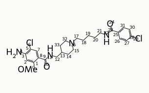 COc1cc(N)c(Cl)cc1C(=O)NCC1CCN(CCCCCNC(=O)c2ccc(Cl)cc2)CC1